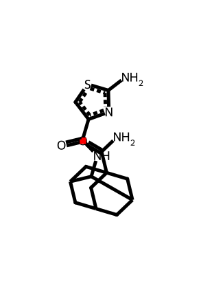 NC(=O)C12CC3CC(C1)C(NC(=O)c1csc(N)n1)C(C3)C2